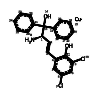 N[C@H](C=Cc1cc(Cl)cc(Cl)c1O)C(O)(c1ccccc1)c1ccccc1.[Cu]